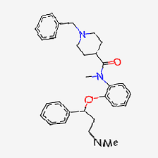 CNCCC(Oc1ccccc1N(C)C(=O)C1CCN(Cc2ccccc2)CC1)c1ccccc1